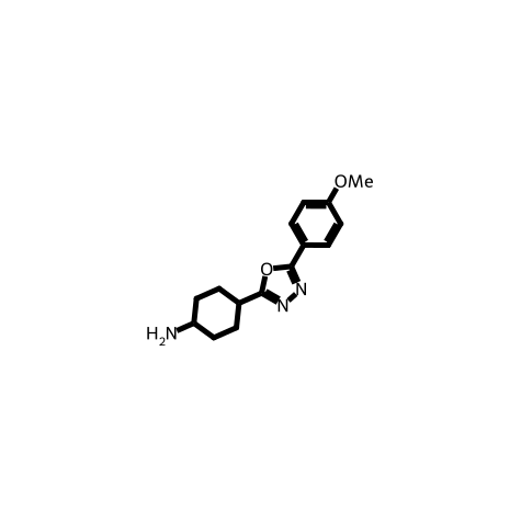 COc1ccc(-c2nnc(C3CCC(N)CC3)o2)cc1